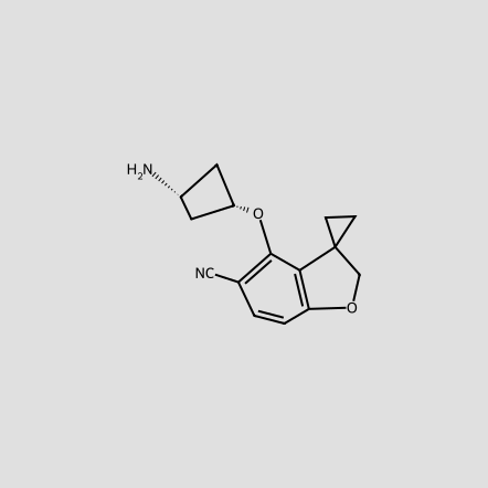 N#Cc1ccc2c(c1O[C@H]1C[C@@H](N)C1)C1(CC1)CO2